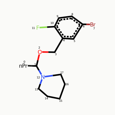 CCCC(OCc1cc(Br)ccc1F)N1CCCCC1